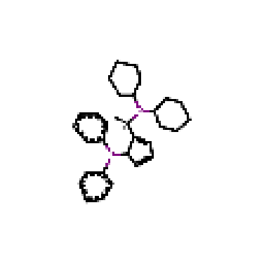 C[C@H](C1=CC=CC1P(c1ccccc1)c1ccccc1)P(C1CCCCC1)C1CCCCC1